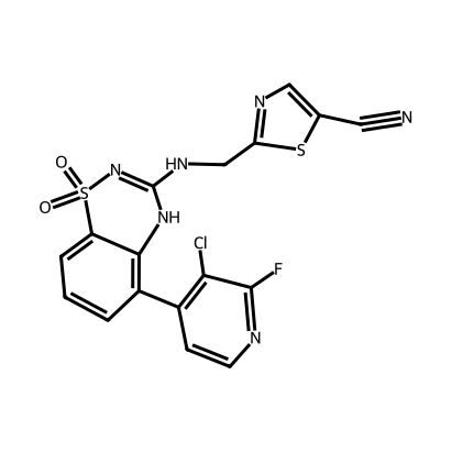 N#Cc1cnc(CNC2=NS(=O)(=O)c3cccc(-c4ccnc(F)c4Cl)c3N2)s1